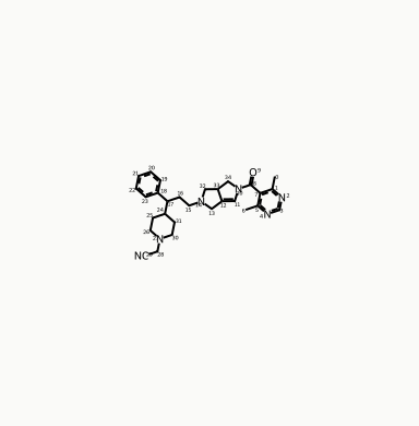 Cc1ncnc(C)c1C(=O)N1C=C2CN(CCC(c3ccccc3)C3CCN(CC#N)CC3)CC2C1